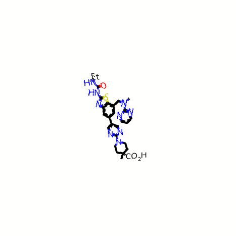 CCNC(=O)Nc1nc2cc(-c3cnc(N4CCC(C)(C(=O)O)CC4)nc3)cc(CN(C)c3ncccn3)c2s1